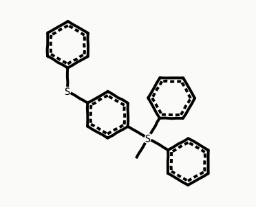 CS(c1ccccc1)(c1ccccc1)c1ccc(Sc2ccccc2)cc1